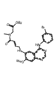 COc1cc2ncnc(Nc3cccc(Br)c3)c2cc1NCC=CC(=O)N(C)CC(=O)OCC(C)C